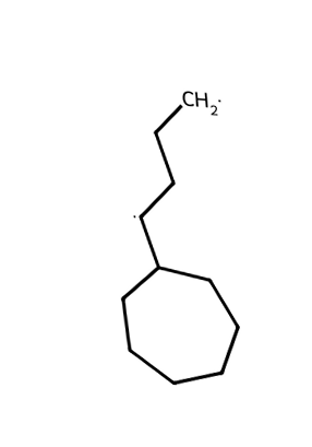 [CH2]CC[CH]C1CCCCCC1